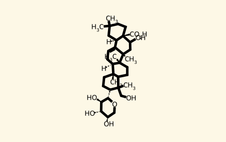 CC1(C)CC[C@]2(C(=O)O)C(O)C[C@]3(C)C(=CC[C@@H]4[C@@]5(C)CCC([C@@H]6OC[C@H](O)[C@H](O)[C@H]6O)C(C)(CO)C5CC[C@]43C)[C@H]2C1